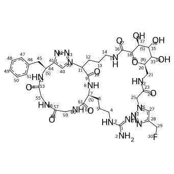 N=C(N)NCCC[C@@H]1NC(=O)C(CCCNC(=O)C2O[C@H](CNC(=O)Cn3cc(CF)nn3)C(O)C(O)[C@@H]2O)n2cc(nn2)[C@H](Cc2ccccc2)NC(=O)CNC(=O)CNC1=O